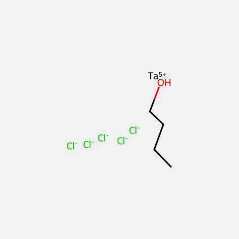 CCCCO.[Cl-].[Cl-].[Cl-].[Cl-].[Cl-].[Ta+5]